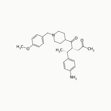 COc1ccc(CN2CCC(C(=O)[C@H](CC(C)=O)[C@@H](C)c3ccc(N)cc3)CC2)cc1